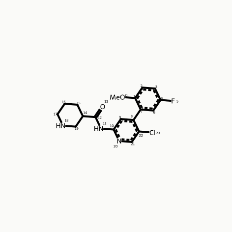 COc1ccc(F)cc1-c1cc(NC(=O)C2CCCNC2)ncc1Cl